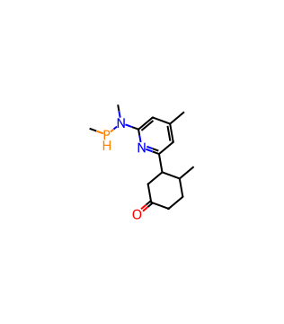 CPN(C)c1cc(C)cc(C2CC(=O)CCC2C)n1